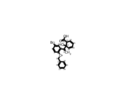 C=C(c1cc(Br)ccc1OCc1ccccc1)C1(O)C=CC=CC1C(=O)O